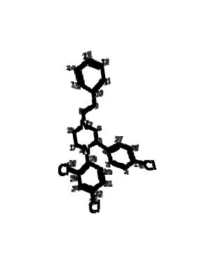 Clc1ccc(C2CN(CCc3ccccc3)CCN2c2ccc(Cl)cc2Cl)cc1